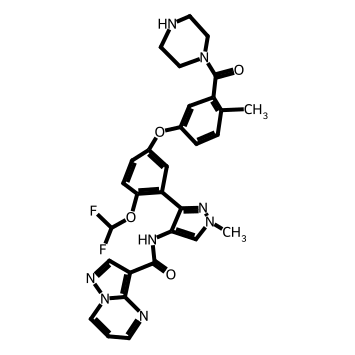 Cc1ccc(Oc2ccc(OC(F)F)c(-c3nn(C)cc3NC(=O)c3cnn4cccnc34)c2)cc1C(=O)N1CCNCC1